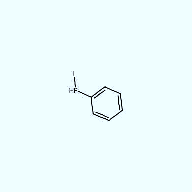 IPc1ccccc1